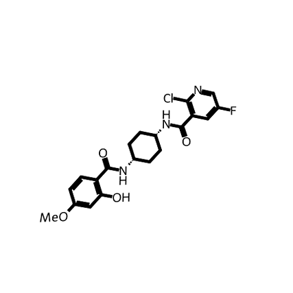 COc1ccc(C(=O)N[C@H]2CC[C@@H](NC(=O)c3cc(F)cnc3Cl)CC2)c(O)c1